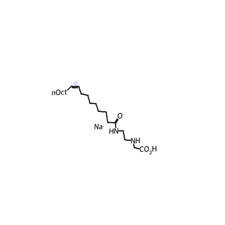 CCCCCCCC/C=C\CCCCCCCC(=O)NCCNCC(=O)O.[Na]